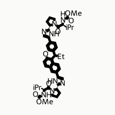 CCC1c2ccc(-c3cnc([C@@H]4CCCN4C(=O)[C@@H](NC(=O)OC)C(C)C)[nH]3)cc2Oc2ccc3cc(-c4cnc([C@@H]5CCCN5C(=O)[C@@H](NC(=O)OC)C(C)C)[nH]4)ccc3c21